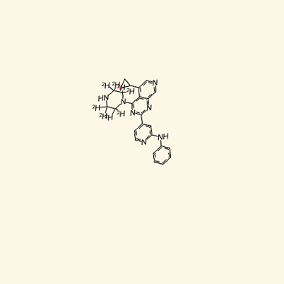 [2H]C1([2H])NC([2H])([2H])C([2H])([2H])N(c2nc(-c3ccnc(Nc4ccccc4)c3)nc3cncc(C4CC4)c23)C1([2H])[2H]